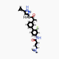 CC(C(=O)[AsH]c1cc(C2CC2)[nH]n1)c1cccc(-c2ccc(NC(=O)/C=C/CN(C)C)cc2F)c1